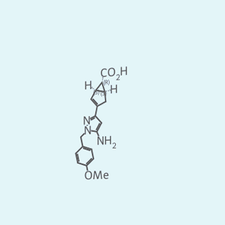 COc1ccc(Cn2nc(C3=C[C@@H]4[C@H](C3)[C@H]4C(=O)O)cc2N)cc1